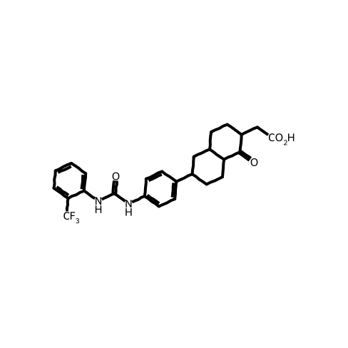 O=C(O)CC1CCC2CC(c3ccc(NC(=O)Nc4ccccc4C(F)(F)F)cc3)CCC2C1=O